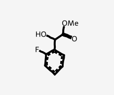 COC(=O)C(O)c1ccccc1F